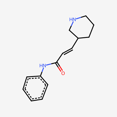 O=C(C=CC1CCCNC1)Nc1ccccc1